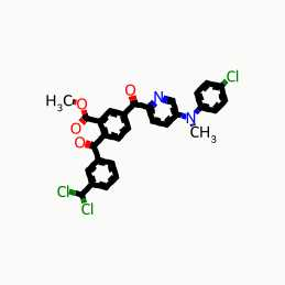 COC(=O)c1cc(C(=O)c2ccc(N(C)c3ccc(Cl)cc3)cn2)ccc1C(=O)c1cccc(C(Cl)Cl)c1